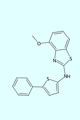 COc1cccc2sc(Nc3ccc(-c4ccccc4)s3)nc12